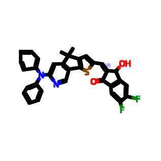 CC1(C)c2cc(N(c3ccccc3)c3ccccc3)ncc2-c2sc(/C=C3\C(=O)c4cc(F)c(F)cc4C3O)cc21